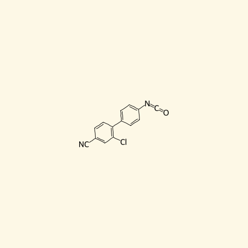 N#Cc1ccc(-c2ccc(N=C=O)cc2)c(Cl)c1